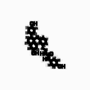 O=C(NCCc1cccc(Cc2c(-c3ccc(O)cc3)ccc3cc(O)ccc23)c1)Nc1ccc(O)cc1